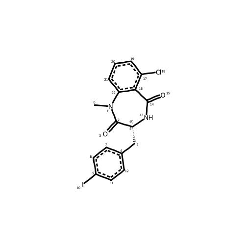 CN1C(=O)[C@@H](Cc2ccc(I)cc2)NC(=O)c2c(Cl)cccc21